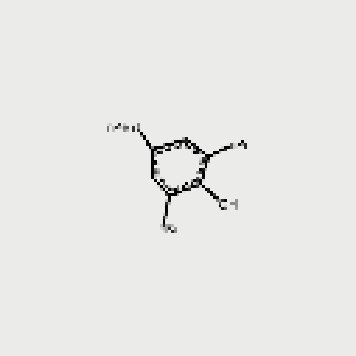 CCCCCc1cc(CCC)c(O)c(CCCC)c1